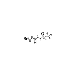 CC(C)(C)OC(=O)CCNCCBr